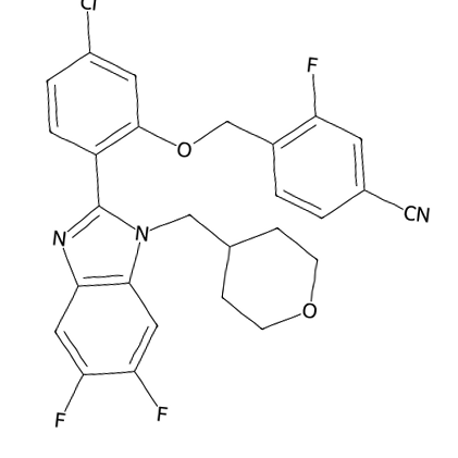 N#Cc1ccc(COc2cc(Cl)ccc2-c2nc3cc(F)c(F)cc3n2CC2CCOCC2)c(F)c1